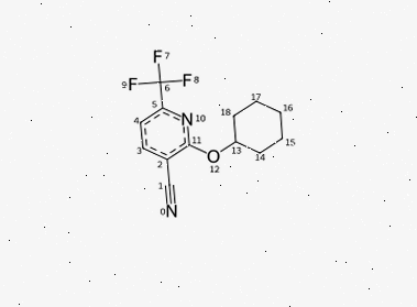 N#Cc1ccc(C(F)(F)F)nc1OC1CCCCC1